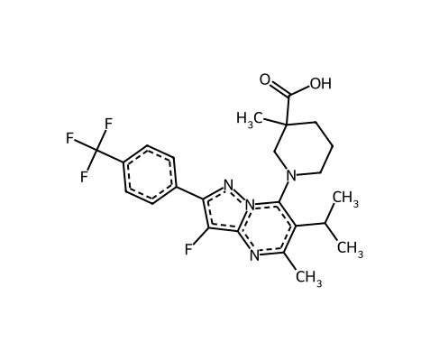 Cc1nc2c(F)c(-c3ccc(C(F)(F)F)cc3)nn2c(N2CCCC(C)(C(=O)O)C2)c1C(C)C